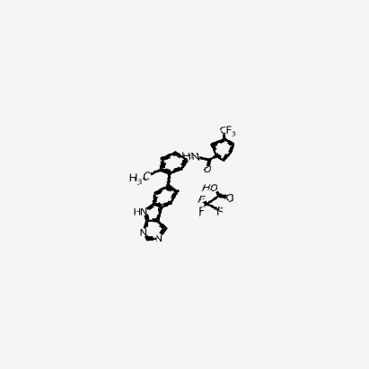 Cc1ccc(NC(=O)c2cccc(C(F)(F)F)c2)cc1-c1ccc2c(c1)[nH]c1ncncc12.O=C(O)C(F)(F)F